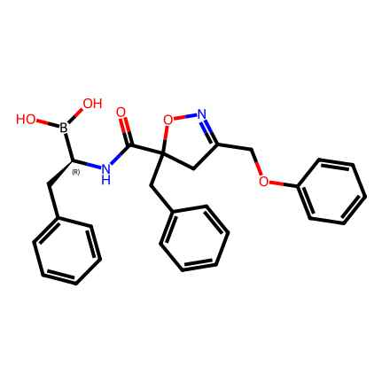 O=C(N[C@@H](Cc1ccccc1)B(O)O)C1(Cc2ccccc2)CC(COc2ccccc2)=NO1